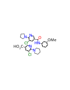 COc1cccc(NC(=O)c2cnc(N3CCCC3)c(Cl)c2)c1.O=C(O)c1cnc(N2CCCCC2)c(Cl)c1